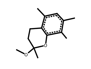 COC1(C)CCc2c(C)cc(C)c(C)c2O1